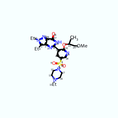 CCc1c2nc(-c3cc(S(=O)(=O)N4CCN(CC)CC4)cnc3OC(C)COC)[nH]c(=O)c2nn1CC